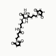 O=C(CCCN1C(=O)C=CC1=O)NCCCC[C@H](NC(=O)CCCN1C(=O)C=CC1=O)C(=O)O